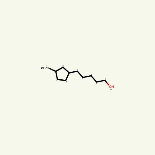 CCCCCCC1CCC(CCCCCO)C1